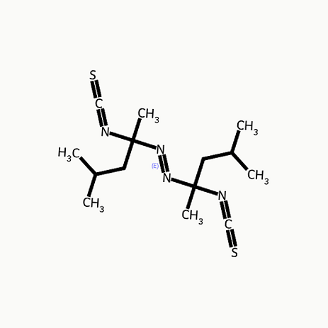 CC(C)CC(C)(N=C=S)/N=N/C(C)(CC(C)C)N=C=S